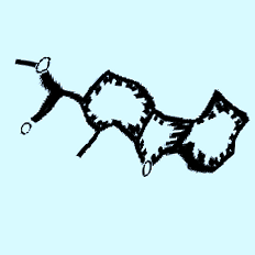 COC(=O)c1ccc2c(oc3ccccc32)c1C